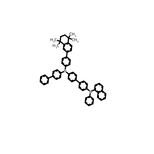 CC1(C)CCC(C)(C)c2cc(-c3ccc(N(c4ccc(-c5ccccc5)cc4)c4ccc(-c5ccc(N(c6ccccc6)c6cccc7ccccc67)cc5)cc4)cc3)ccc21